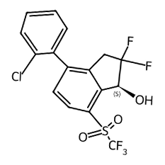 O=S(=O)(c1ccc(-c2ccccc2Cl)c2c1[C@H](O)C(F)(F)C2)C(F)(F)F